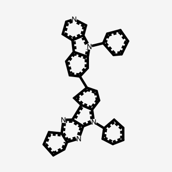 c1ccc(-n2c3cnccc3c3ccc(-c4ccc5c(c4)c4nc6ccccc6nc4n5-c4ccccc4)cc32)cc1